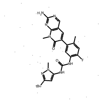 Cc1cc(F)c(NC(=O)Nc2cc(C(C)(C)C)nn2C)cc1-c1cc2cnc(N)nc2n(C)c1=O